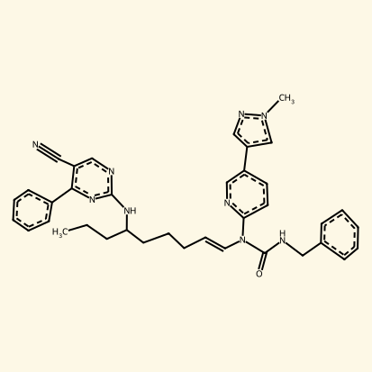 CCCC(CCC/C=C/N(C(=O)NCc1ccccc1)c1ccc(-c2cnn(C)c2)cn1)Nc1ncc(C#N)c(-c2ccccc2)n1